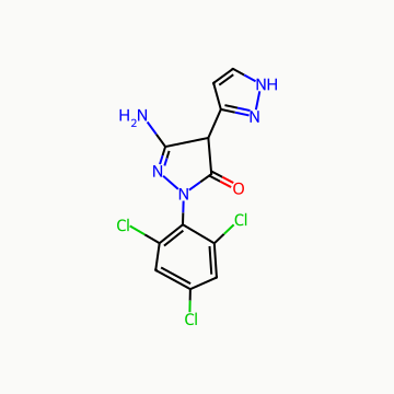 NC1=NN(c2c(Cl)cc(Cl)cc2Cl)C(=O)C1c1cc[nH]n1